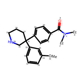 CCN(CC)C(=O)c1ccc(C2(c3cccc(OC)c3)CCCNC2)cc1